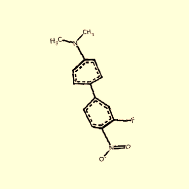 CN(C)c1ccc(-c2ccc([N+](=O)[O-])c(F)c2)cc1